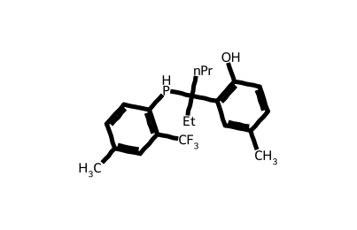 CCCC(CC)(Pc1ccc(C)cc1C(F)(F)F)c1cc(C)ccc1O